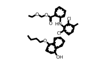 CCCCOc1ccc(O)c2ccccc12.CCOCOC(=O)c1ccccc1Nc1c(Cl)ccc(C)c1Cl